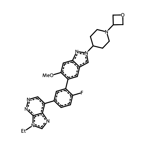 CCn1cnc2c(-c3ccc(F)c(-c4cc5cn(C6CCN(C7COC7)CC6)nc5cc4OC)c3)cnnc21